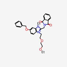 CCOCCOCC[n+]1c(CN2C(=O)c3ccccc3C2=O)n(CC)c2cc(OCc3ccccc3)ccc21